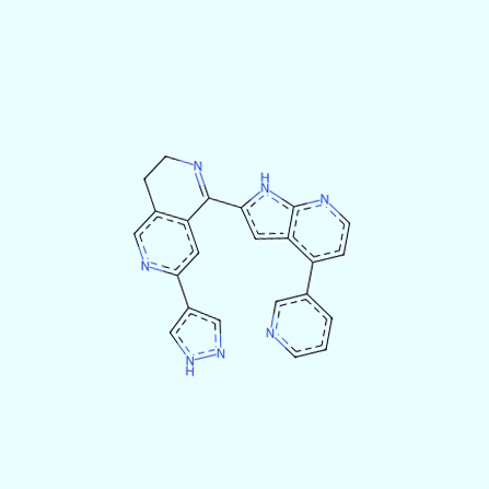 c1cncc(-c2ccnc3[nH]c(C4=NCCc5cnc(-c6cn[nH]c6)cc54)cc23)c1